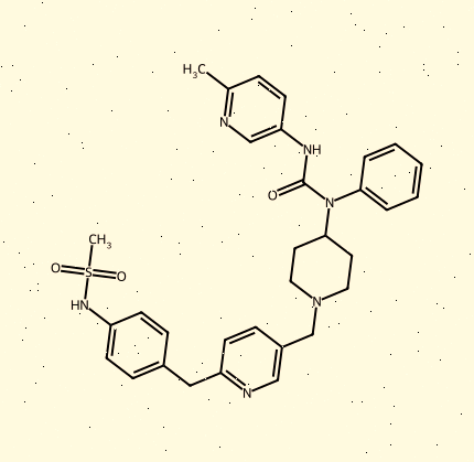 Cc1ccc(NC(=O)N(c2ccccc2)C2CCN(Cc3ccc(Cc4ccc(NS(C)(=O)=O)cc4)nc3)CC2)cn1